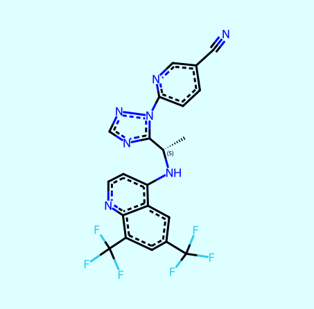 C[C@H](Nc1ccnc2c(C(F)(F)F)cc(C(F)(F)F)cc12)c1ncnn1-c1ccc(C#N)cn1